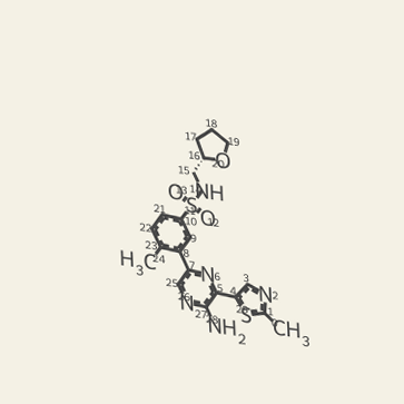 Cc1ncc(-c2nc(-c3cc(S(=O)(=O)NC[C@@H]4CCCO4)ccc3C)cnc2N)s1